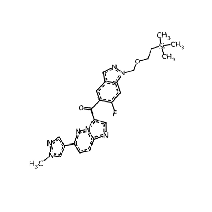 Cn1cc(-c2ccc3ncc(C(=O)c4cc5cnn(COCC[Si](C)(C)C)c5cc4F)n3n2)cn1